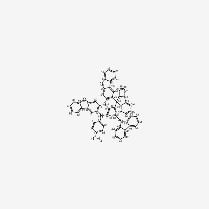 Cc1ccc(N2c3cc4c(cc3B3c5cc6oc7ccccc7c6cc5C5(c6ccccc6-c6ccccc65)c5cc(-n6c7ccccc7c7ccccc76)cc2c53)oc2ccccc24)cc1